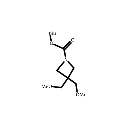 COCC1(COC)CN(C(=O)OC(C)(C)C)C1